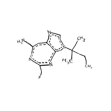 CCC(C)(C)n1cnc2c(N)nc(F)nc21